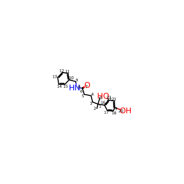 CC(C)(CCCC(=O)NCc1ccccc1)c1ccc(O)cc1O